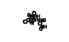 CONc1ccc(Nc2ccc(C)c(/N=C\c3c(O)c(C(=O)Nc4ccccc4)cc4ccccc34)c2)c(N=O)c1